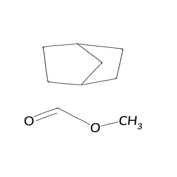 C1CC2CCC1C2.COC=O